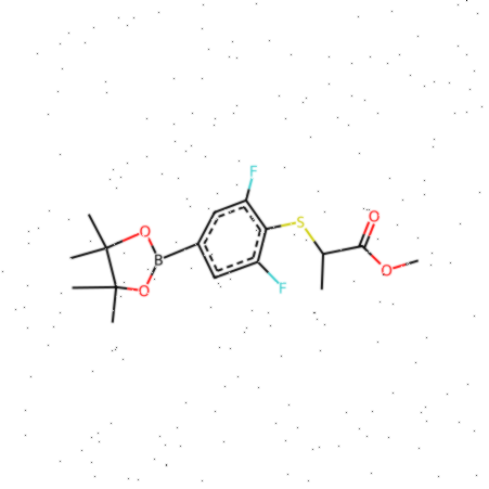 COC(=O)C(C)Sc1c(F)cc(B2OC(C)(C)C(C)(C)O2)cc1F